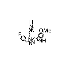 COc1ccc2[nH]cc(Cc3nnc(Cc4ccc(F)cc4)n3CCCc3c[nH]cn3)c2c1